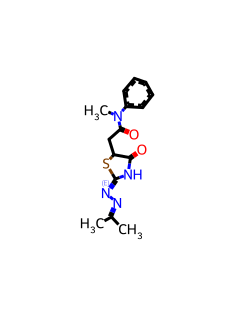 CC(C)=N/N=C1\NC(=O)C(CC(=O)N(C)c2ccccc2)S1